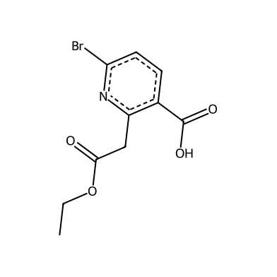 CCOC(=O)Cc1nc(Br)ccc1C(=O)O